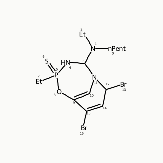 CCCCCN(CC)C1NP(=S)(CC)OC2=CN1C(Br)C=C2Br